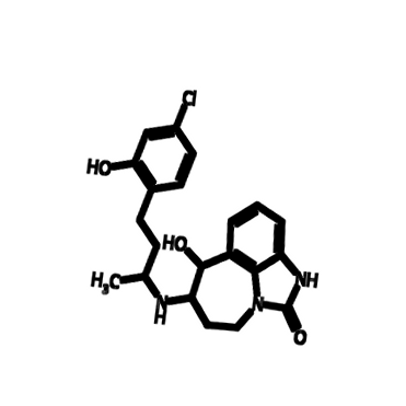 CC(CCc1ccc(Cl)cc1O)NC1CCn2c(=O)[nH]c3cccc(c32)C1O